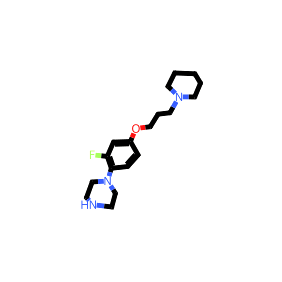 Fc1cc(OCCCN2CCCCC2)ccc1N1CCNCC1